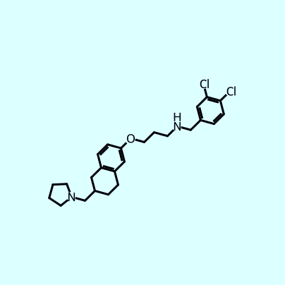 Clc1ccc(CNCCCOc2ccc3c(c2)CCC(CN2CCCC2)C3)cc1Cl